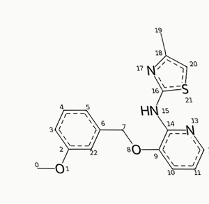 COc1cccc(COc2cccnc2Nc2nc(C)cs2)c1